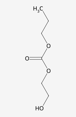 CCCOC(=O)OCCO